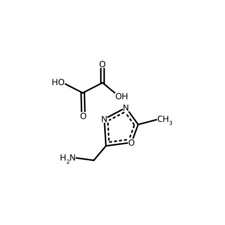 Cc1nnc(CN)o1.O=C(O)C(=O)O